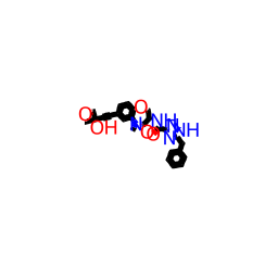 CN1C(=O)[C@H](NC(=O)c2n[nH]c(Cc3ccccc3)n2)COc2ccc(C#CC3(O)COC3)cc21